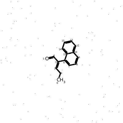 CC/C=C(/[C]=O)c1cccc2ccccc12